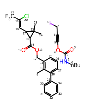 CCCCNC(=O)OC#CCI.Cc1c(COC(=O)C2C(/C=C(\Cl)C(F)(F)F)C2(C)C)cccc1-c1ccccc1